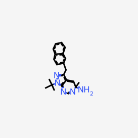 CC1(N)C=c2c(Cc3ccc4ccccc4c3)nn(C(C)(C)C)c2=NC=N1